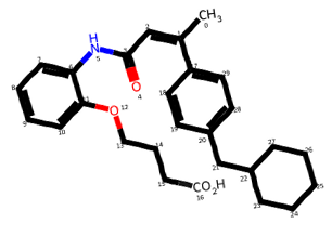 CC(=CC(=O)Nc1ccccc1OCCCC(=O)O)c1ccc(CC2CCCCC2)cc1